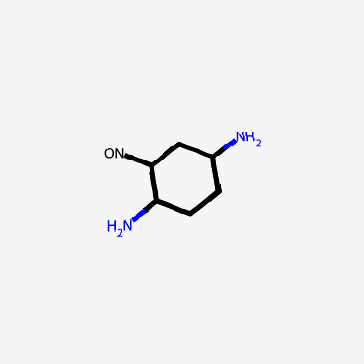 NC1CCC(N)C(N=O)C1